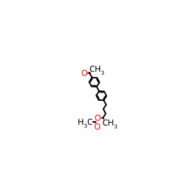 CC(=O)OC(C)CCCc1ccc(-c2ccc(C(C)=O)cc2)cc1